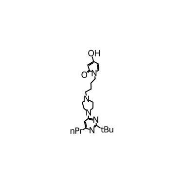 CCCc1cc(N2CCN(CCCCn3ccc(O)cc3=O)CC2)nc(C(C)(C)C)n1